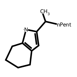 CCCCCC(C)C1=CC2=C(CCCC2)[N]1